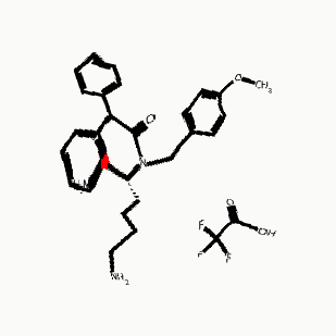 COc1ccc(CN(C(=O)C(c2ccccc2)c2ccccc2)[C@H](CCCCN)C(N)=O)cc1.O=C(O)C(F)(F)F